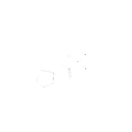 O=C(OC1CCCC1)C(O)(C(F)(F)F)C(F)(F)F